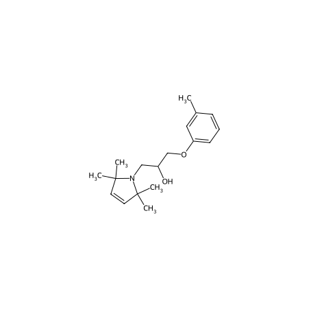 Cc1cccc(OCC(O)CN2C(C)(C)C=CC2(C)C)c1